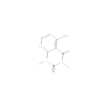 Cn1c(=O)c2c(N)ccnc2n(C)c1=O